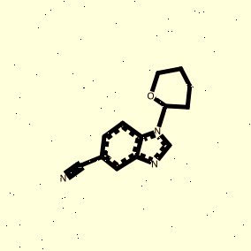 N#Cc1ccc2c(c1)ncn2C1CCCCO1